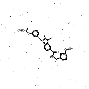 Cc1c(C)n(Cc2cccc(O[C@@H](C)C=O)c2)c2ccc(C(=O)N[C@@H](C)c3cccc(OC(C)C)c3)cc12